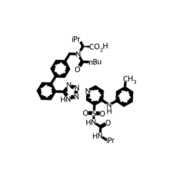 CCCCC(=O)N(Cc1ccc(-c2ccccc2-c2nnn[nH]2)cc1)[C@H](C(=O)O)C(C)C.Cc1cccc(Nc2ccncc2S(=O)(=O)NC(=O)NC(C)C)c1